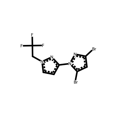 FC(F)(F)Cn1ccc(-n2nc(Br)cc2Br)n1